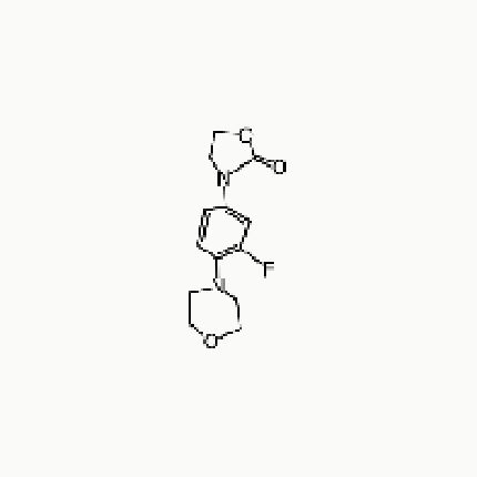 O=C1OCCN1c1ccc(N2CCOCC2)c(F)c1